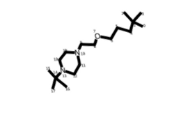 CC(C)(C)CCCOCCN1CCN(C(C)(C)C)CC1